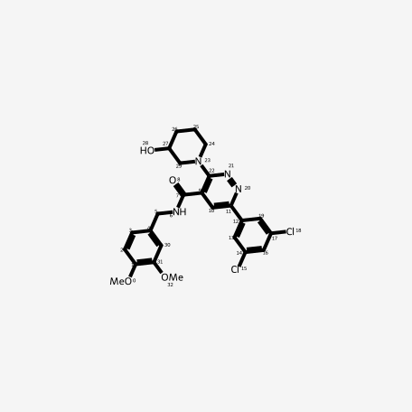 COc1ccc(CNC(=O)c2cc(-c3cc(Cl)cc(Cl)c3)nnc2N2CCCC(O)C2)cc1OC